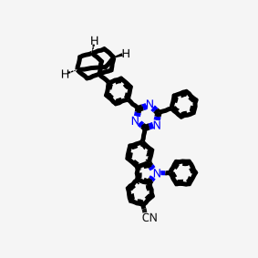 N#Cc1ccc2c3ccc(-c4nc(-c5ccccc5)nc(-c5ccc(C67C[C@H]8C[C@H](C6)C[C@@H](C7)C8)cc5)n4)cc3n(-c3ccccc3)c2c1